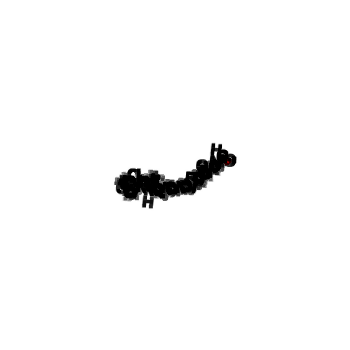 Cc1cc(Nc2ncc(Cl)c(Nc3ccccc3S(=O)(=O)C(C)C)n2)c(OC(C)C)cc1N1CCC(N2CCN(Cc3cc4c(cc3F)C(=O)N(C3CCC(C(=O)C=O)NC3)C4)CC2)CC1